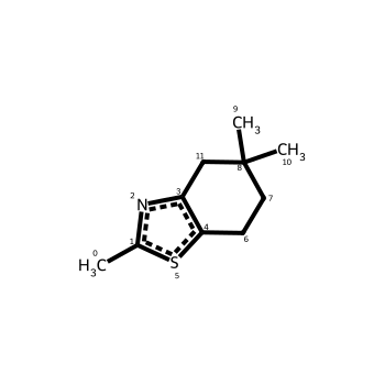 Cc1nc2c(s1)CCC(C)(C)C2